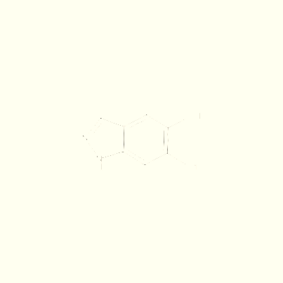 CC(C)c1cc2[nH]ncc2cc1O